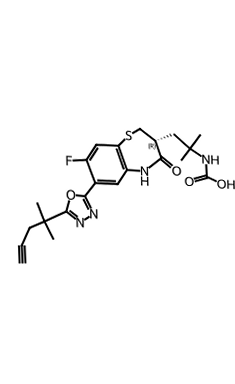 C#CCC(C)(C)c1nnc(-c2cc3c(cc2F)SC[C@H](CC(C)(C)NC(=O)O)C(=O)N3)o1